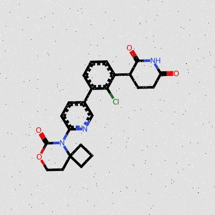 O=C1CCC(c2cccc(-c3ccc(N4C(=O)OCCC45CCC5)nc3)c2Cl)C(=O)N1